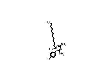 CCCCCCCCCCCC1(C)N=C(N)N=C(N)N1c1ccc(Cl)cc1